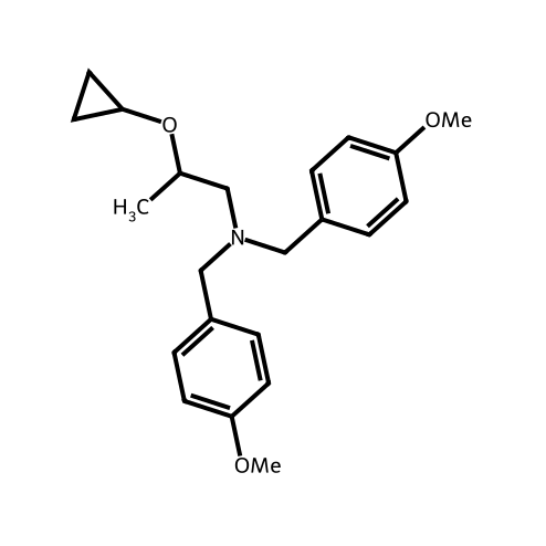 COc1ccc(CN(Cc2ccc(OC)cc2)CC(C)OC2CC2)cc1